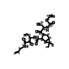 C=CCNC(=O)C(=O)C(CCC)NC(=O)C1C2C(CN1C(=O)C(NC(=O)OC(C)(C)C)C(C)(C)C)C2(C)C